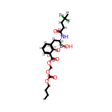 CCCCOC(=O)OCOC(=O)c1cccc2c1OB(O)[C@@H](NC(=O)CCC(C)(F)F)C2